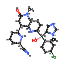 Cn1cncc1[C@@](O)(c1ccc(Cl)cc1)c1ccc2c(n1)c(-c1cccc(C#N)n1)cc(=O)n2C